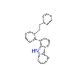 C(=Cc1ccccc1-c1cccc2c1[nH]c1ccccc12)c1ccccc1